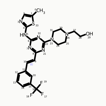 Cc1cnc(Nc2nc(/C=C/c3cccc(C(F)(F)F)c3)nc(N3CCN(CCO)CC3)n2)s1